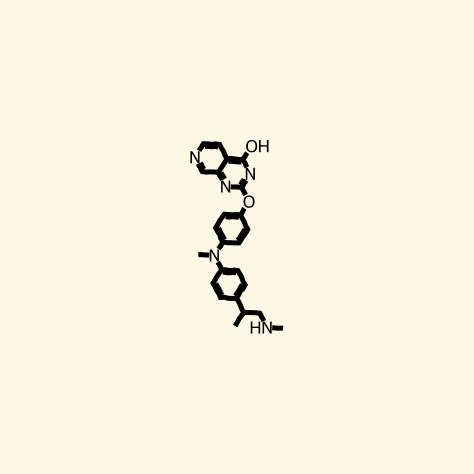 CNCC(C)c1ccc(N(C)c2ccc(Oc3nc(O)c4ccncc4n3)cc2)cc1